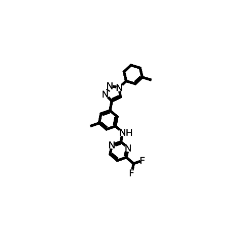 CC1=CC(n2cc(-c3cc(C)cc(Nc4nccc(C(F)F)n4)c3)nn2)CCC1